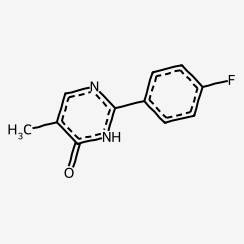 Cc1cnc(-c2ccc(F)cc2)[nH]c1=O